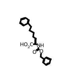 O=C(N/C(=C/CCCCc1ccccc1)C(=O)O)OCc1ccccc1